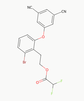 N#Cc1cc(C#N)cc(Oc2cccc(Br)c2CCOC(=O)C(F)F)c1